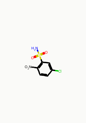 NS(=O)(=O)c1cc(Cl)ccc1[N+](=O)[O-]